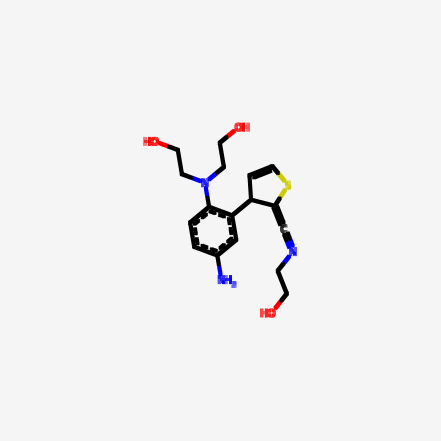 Nc1ccc(N(CCO)CCO)c(C2C=CSC2=C=NCCO)c1